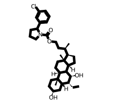 CC[C@H]1[C@@H](O)C2[C@@H]3CC[C@H]([C@H](C)CCOC(=O)N4CCCC4c4cccc(Cl)c4)[C@@]3(C)CC[C@@H]2[C@@]2(C)CC[C@@H](O)C[C@@H]12